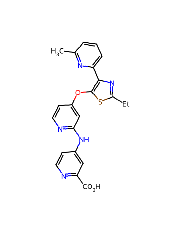 CCc1nc(-c2cccc(C)n2)c(Oc2ccnc(Nc3ccnc(C(=O)O)c3)c2)s1